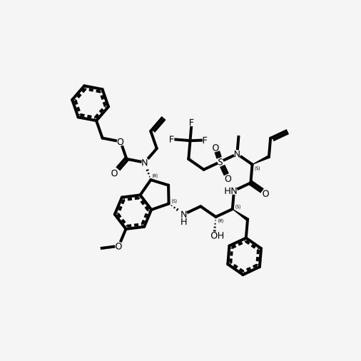 C=CC[C@@H](C(=O)N[C@@H](Cc1ccccc1)[C@H](O)CN[C@H]1C[C@@H](N(CC=C)C(=O)OCc2ccccc2)c2ccc(OC)cc21)N(C)S(=O)(=O)CCC(F)(F)F